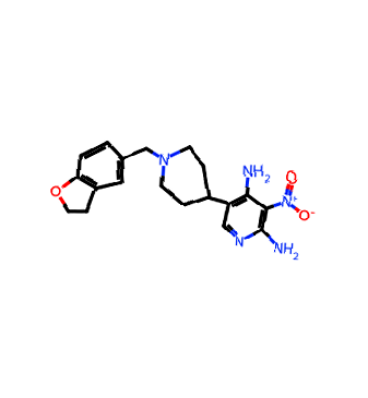 Nc1ncc(C2CCN(Cc3ccc4c(c3)CCO4)CC2)c(N)c1[N+](=O)[O-]